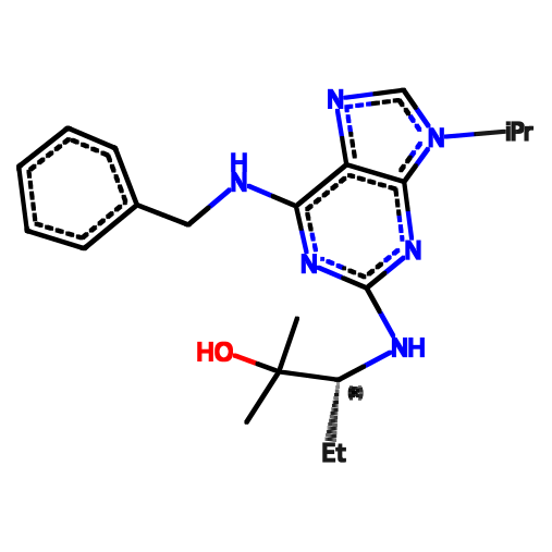 CC[C@@H](Nc1nc(NCc2ccccc2)c2ncn(C(C)C)c2n1)C(C)(C)O